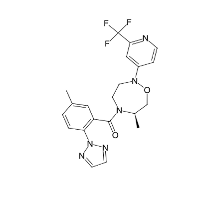 Cc1ccc(-n2nccn2)c(C(=O)N2CCN(c3ccnc(C(F)(F)F)c3)OC[C@H]2C)c1